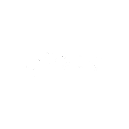 COC(=O)c1cc2cc(NC(=O)c3ccc(C4=CSC(C)N4)cc3)cnc2[nH]1